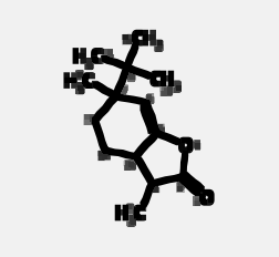 CC1C(=O)OC2=CC(C)(C(C)(C)C)CCC21